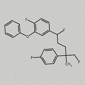 CC(CF)(CCC(F)c1ccc(F)c(Oc2ccccc2)c1)c1ccc(F)cc1